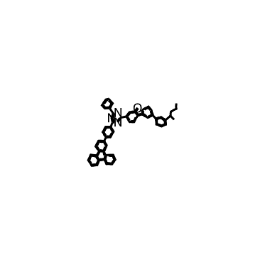 CCCC(C)c1cccc(-c2ccc3oc4cc(-c5nc(-c6ccccc6)nc(-c6ccc(-c7ccc8c9ccccc9c9ccccc9c8c7)cc6)n5)ccc4c3c2)c1